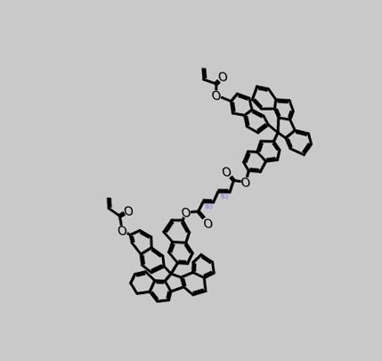 C=CC(=O)Oc1ccc2cc(C3(c4ccc5cc(OC(=O)/C=C/C=C/C(=O)Oc6ccc7cc(C8(c9ccc%10cc(OC(=O)C=C)ccc%10c9)c9c(ccc%10c9C=CCC%10)-c9ccc%10ccccc%10c98)ccc7c6)ccc5c4)c4ccccc4-c4ccc5ccccc5c43)ccc2c1